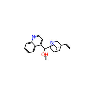 C=CC1CN2CCC1CC2C(O)c1ccnc2ccccc12.[Ti]